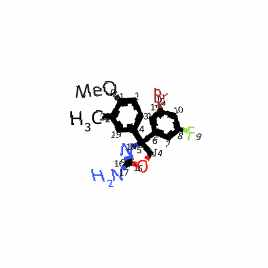 COc1ccc(C2(c3cc(F)cc(Br)c3)COC(N)=N2)cc1C